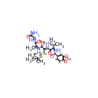 CC(C)[C@H](NC(=O)c1ccc2c(c1)OCO2)C(=O)N[C@@H](CSSC(C)(C)C)C(=O)N[C@@H](C)C(=O)NCC(N)=O